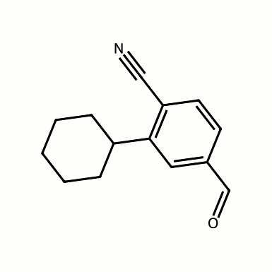 N#Cc1ccc(C=O)cc1C1CCCCC1